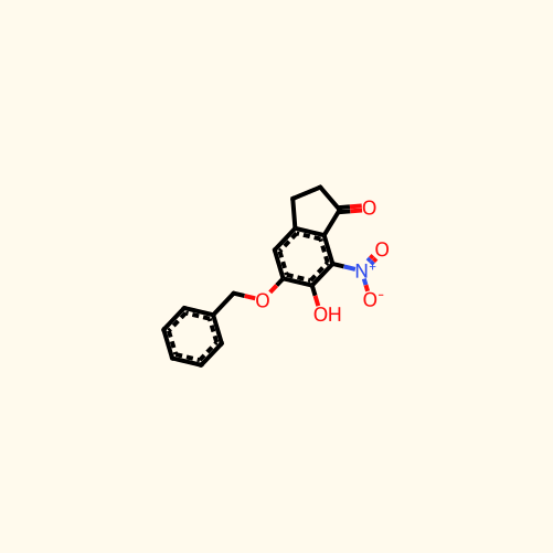 O=C1CCc2cc(OCc3ccccc3)c(O)c([N+](=O)[O-])c21